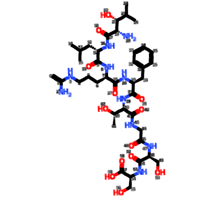 C=C(N)NCCC[C@@H](NC(=O)[C@H](CC(C)C)NC(=O)[C@@H](N)[C@H](O)C(C)C)C(=O)N[C@@H](Cc1ccccc1)C(=O)N[C@H](C(=O)NCC(=O)N[C@@H](CO)C(=O)N[C@@H](CO)C(=O)O)[C@H](C)O